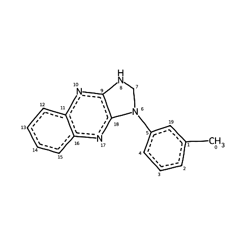 Cc1cccc(N2CNc3nc4ccccc4nc32)c1